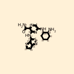 NC(=O)c1ncc(N[C@@H]2CCCC[C@@H]2N)nc1Nc1snc2ccsc12